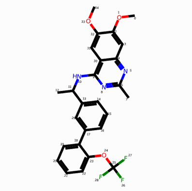 COc1cc2nc(C)nc(NC(C)c3cccc(-c4ccccc4OC(F)(F)F)c3)c2cc1OC